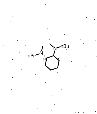 CCCCN(C)C1CCCC[C@@H]1N(C)CCC